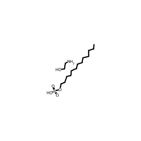 CCCCCCCCCCCCCOS(=O)(=O)O.NCCO